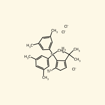 Cc1cc(C)cc([Si](C)(C2=[C]([Ti+3])CC=C2C(C)(C)C)c2cc(C)cc(C)c2)c1.[Cl-].[Cl-].[Cl-]